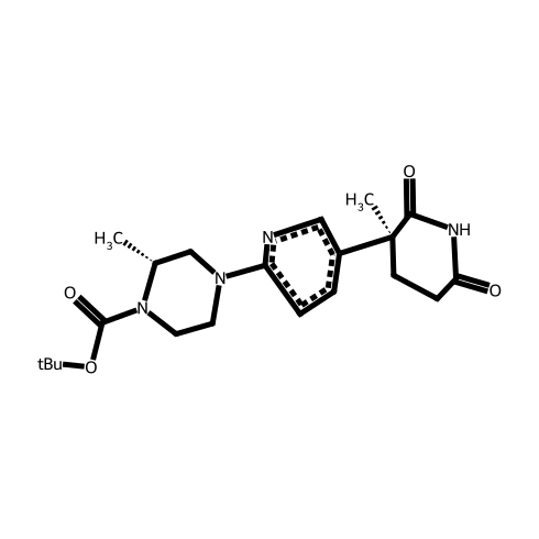 C[C@@H]1CN(c2ccc([C@]3(C)CCC(=O)NC3=O)cn2)CCN1C(=O)OC(C)(C)C